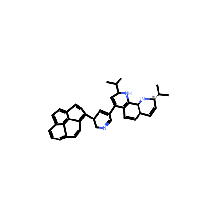 CC(C)C1C=C(C2=CC(c3ccc4ccc5cccc6ccc3c4c56)CN=C2)C2=C(N1)C1N[C@H](C(C)C)C=CC1C=C2